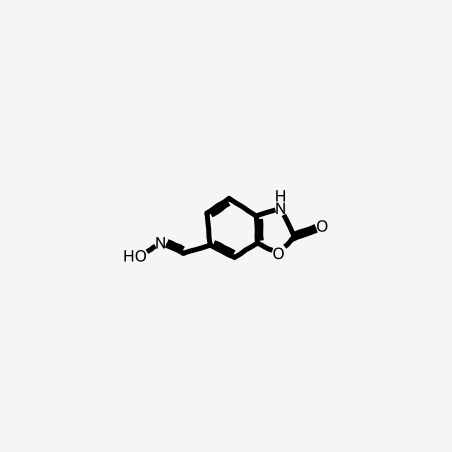 O=c1[nH]c2ccc(/C=N/O)cc2o1